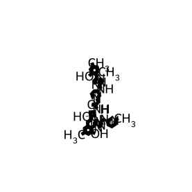 Cc1cc(C)c(-c2cnc(N[C@@H]3CCCN(CC(=O)N[C@H]4C[C@](O)(CCc5cc(C)cc(O)c5-c5nnc(N[C@@H]6CCCN(C)C6)nn5)C4)C3)nn2)c(O)c1